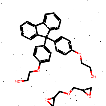 C(OCC1CO1)C1CO1.OCCOc1ccc(C2(c3ccc(OCCO)cc3)c3ccccc3-c3ccccc32)cc1